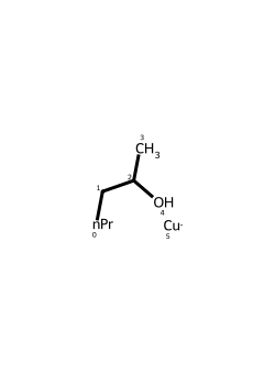 CCCCC(C)O.[Cu]